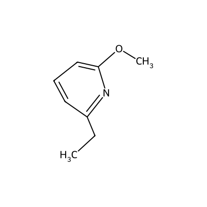 CCc1cccc(OC)n1